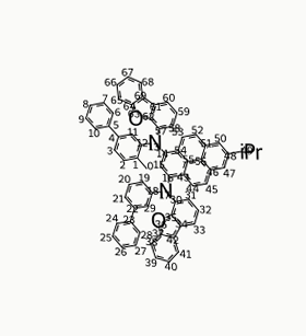 Cc1ccc(-c2ccccc2)cc1N(c1cc(N(c2cccc(-c3ccccc3)c2)c2cccc3c2oc2ccccc23)c2ccc3cc(C(C)C)cc4ccc1c2c34)c1cccc2c1oc1ccccc12